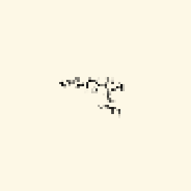 CCc1cc(Oc2cc(C#N)ccc2-c2ccc(CCN)cn2)n(C)n1